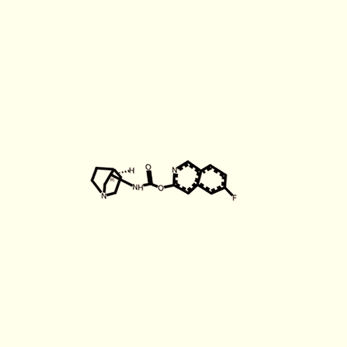 O=C(N[C@H]1CN2CCC1CC2)Oc1cc2cc(F)ccc2cn1